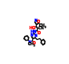 Cc1oncc1C(O)=C(C#N)C(=O)Nc1ncc(C(=O)N(C)c2ccccc2)c(CCc2ccccc2)n1